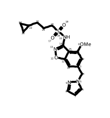 COc1cc(Cn2cccn2)cc2onc(NS(=O)(=O)CCCC3CC3)c12